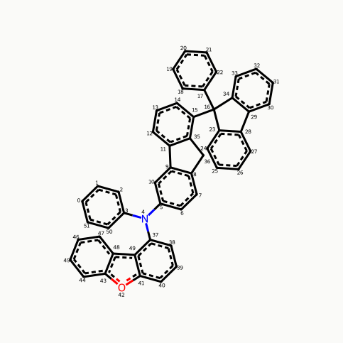 c1ccc(N(c2ccc3c(c2)-c2cccc(C4(c5ccccc5)c5ccccc5-c5ccccc54)c2C3)c2cccc3oc4ccccc4c23)cc1